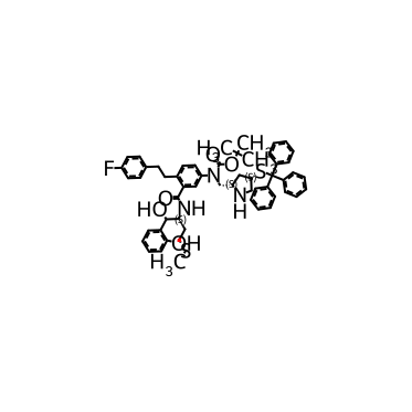 CSCC[C@H](NC(=O)c1cc(N(C[C@@H]2C[C@H](SC(c3ccccc3)(c3ccccc3)c3ccccc3)CN2)C(=O)OC(C)(C)C)ccc1CCc1ccc(F)cc1)C(O)c1ccccc1O